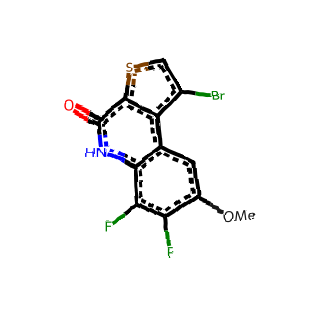 COc1cc2c([nH]c(=O)c3scc(Br)c32)c(F)c1F